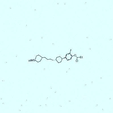 CCC[SiH]1CCC(CCCC[C@H]2CC[C@H](c3ccc(OC(Cl)CC)c(F)c3)CC2)CC1